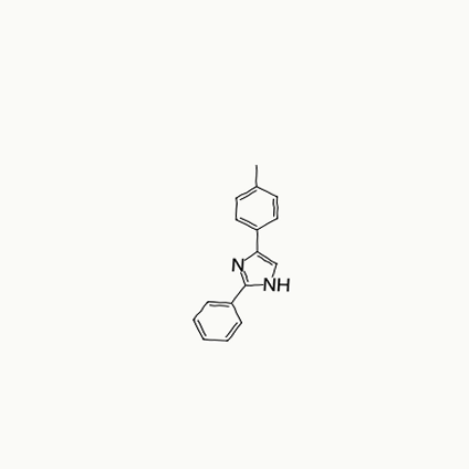 Cc1ccc(-c2c[nH]c(-c3ccccc3)n2)cc1